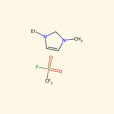 CCN1C=CN(C)C1.O=S(=O)(F)C(F)(F)F